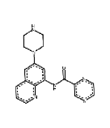 O=C(Nc1cc(N2CCNCC2)cc2cccnc12)c1cnccn1